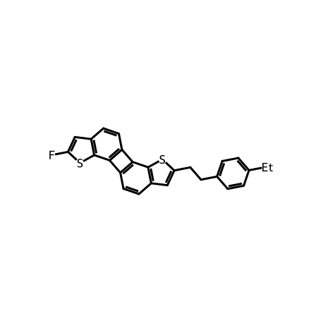 CCc1ccc(CCc2cc3ccc4c(c3s2)-c2ccc3cc(F)sc3c2-4)cc1